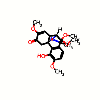 COC1=CC2[C@H]3N(C)C[C@]2(CC1=O)c1c(ccc(OC)c1O)C3(OC)OC